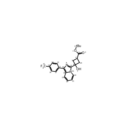 CC(C)(C)OC(=O)C1CC(O)(c2nc(-c3ccc(C(F)(F)F)cc3)c3ccccn23)C1